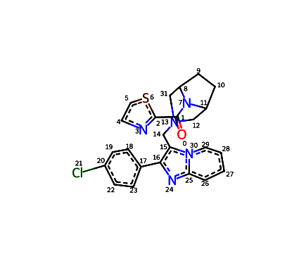 O=C(c1nccs1)N1C2CCC1CN(Cc1c(-c3ccc(Cl)cc3)nc3ccccn13)C2